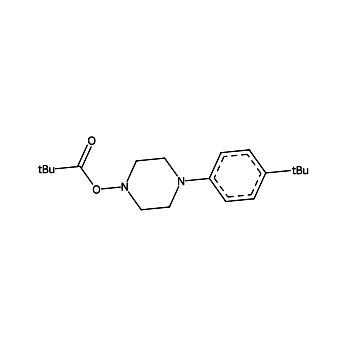 CC(C)(C)C(=O)ON1CCN(c2ccc(C(C)(C)C)cc2)CC1